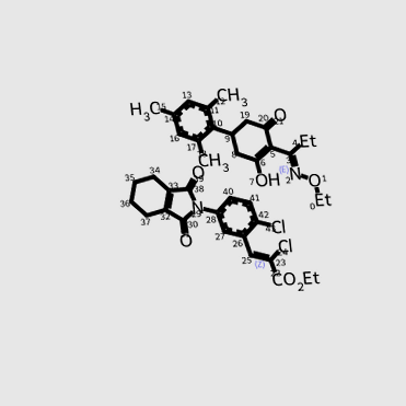 CCO/N=C(\CC)C1=C(O)CC(c2c(C)cc(C)cc2C)CC1=O.CCOC(=O)/C(Cl)=C/c1cc(N2C(=O)C3=C(CCCC3)C2=O)ccc1Cl